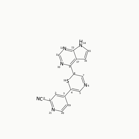 N#Cc1cc(C2=CN=CC(c3ncnc4[nH]ccc34)S2)ccn1